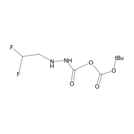 CC(C)(C)OC(=O)OC(=O)NNCC(F)F